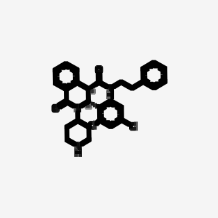 O=C(NCCc1ccccc1)[C@@H]1c2ccccc2C(=O)N(C2CCNCC2)[C@H]1c1ccc(Cl)cc1Cl